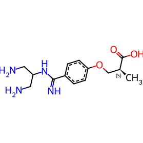 C[C@@H](COc1ccc(C(=N)NC(CN)CN)cc1)C(=O)O